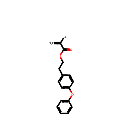 C=C(C)C(=O)OCCc1ccc(Oc2ccccc2)cc1